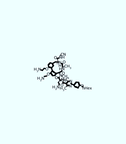 CCCCCCOc1ccc(-c2nc(C)c(C(=O)N[C@@H](CCN)C(=O)N(C)[C@@H]3C(=O)N[C@@H](C)C(=O)N[C@H](C(=O)NCC#N)Cc4ccc(OCCN)c(c4)-c4cc3ccc4OCCN)c(C)n2)cc1